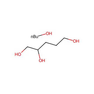 CCCCO.OCCCC(O)CO